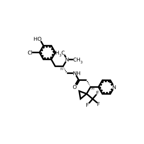 CN(C)[C@H](CNC(=O)C[C@H](c1ccncc1)C1(C(F)(F)F)CC1)Cc1ccc(O)c(Cl)c1